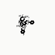 CC1CCC2(CC(CO)=NO2)C(n2cc(C(=O)NCc3ccc(F)cc3F)c(=O)c(OCc3ccccc3)c2C=O)CN1C